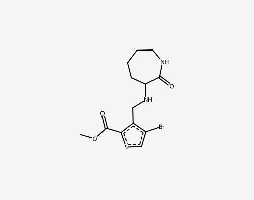 COC(=O)c1scc(Br)c1CNC1CCCCNC1=O